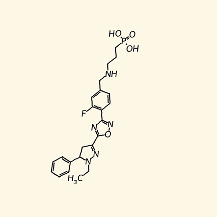 CCN1N=C(c2nc(-c3ccc(CNCCCP(=O)(O)O)cc3F)no2)CC1c1ccccc1